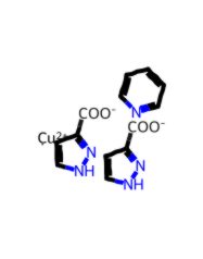 O=C([O-])c1cc[nH]n1.O=C([O-])c1cc[nH]n1.[Cu+2].c1ccncc1